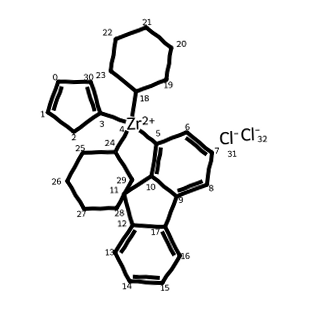 C1=CC[C]([Zr+2]([c]2cccc3c2Cc2ccccc2-3)([CH]2CCCCC2)[CH]2CCCCC2)=C1.[Cl-].[Cl-]